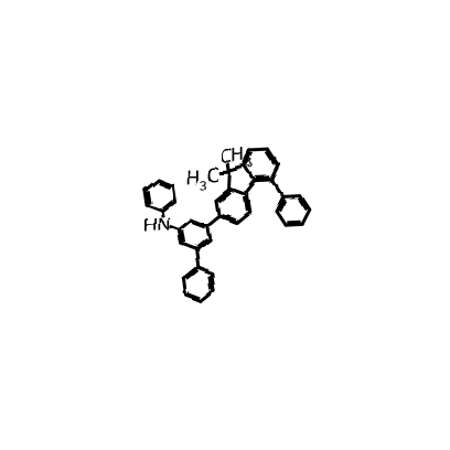 CC1(C)c2cc(-c3cc(Nc4ccccc4)cc(-c4ccccc4)c3)ccc2-c2c(-c3ccccc3)cccc21